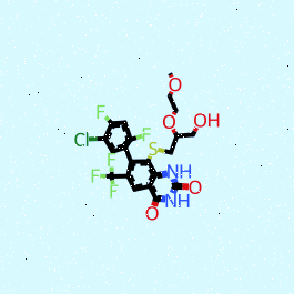 COCCOC(CO)CSc1c(-c2cc(Cl)c(F)cc2F)c(C(F)(F)F)cc2c(=O)[nH]c(=O)[nH]c12